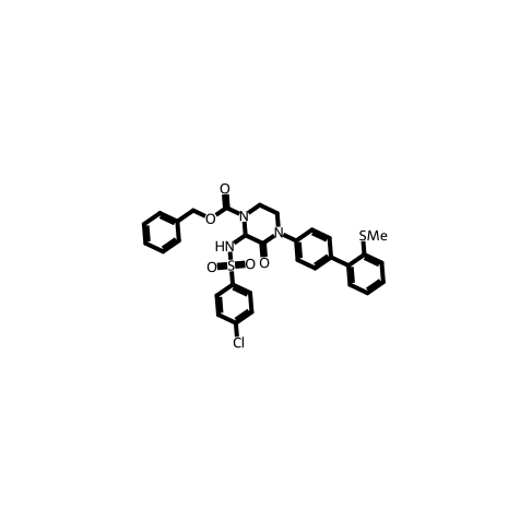 CSc1ccccc1-c1ccc(N2CCN(C(=O)OCc3ccccc3)C(NS(=O)(=O)c3ccc(Cl)cc3)C2=O)cc1